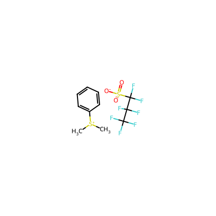 C[S+](C)c1ccccc1.O=S(=O)([O-])C(F)(F)C(F)(F)C(F)(F)F